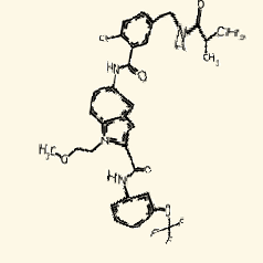 COCCn1c(C(=O)Nc2cccc(OC(F)(F)F)c2)cc2cc(NC(=O)c3cc(CNC(=O)C(C)C)ccc3Cl)ccc21